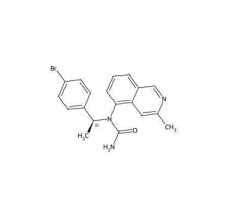 Cc1cc2c(N(C(N)=O)[C@@H](C)c3ccc(Br)cc3)cccc2cn1